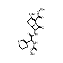 CC(=O)OC1=C(C(=O)OC(C)(C)C)N2C(=O)C(NC(=O)C(NC(=O)OC(C)(C)C)C3=CSCCS3)C2SC1